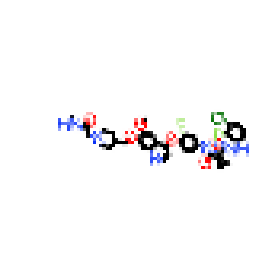 CNC(=O)CN1CCC(COc2cc3nccc(Oc4ccc(NC(=O)C5(C(=O)Nc6cccc(Cl)c6F)CC5)cc4F)c3cc2OC)CC1